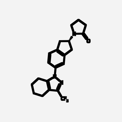 O=C1CCCN1[C@H]1Cc2ccc(-n3nc(C(F)(F)F)c4c3CCCC4)cc2C1